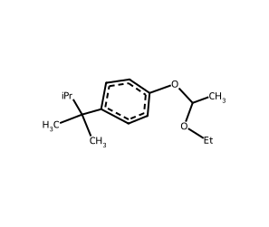 CCOC(C)Oc1ccc(C(C)(C)C(C)C)cc1